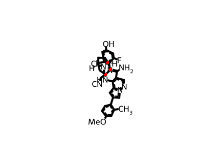 COc1ccc(-c2cc3c(NC4C[C@H]5CC[C@@H](C4)N5CCC#N)c(C(N)=Nc4c(F)cc(O)cc4Cl)cnn3c2)c(C)c1